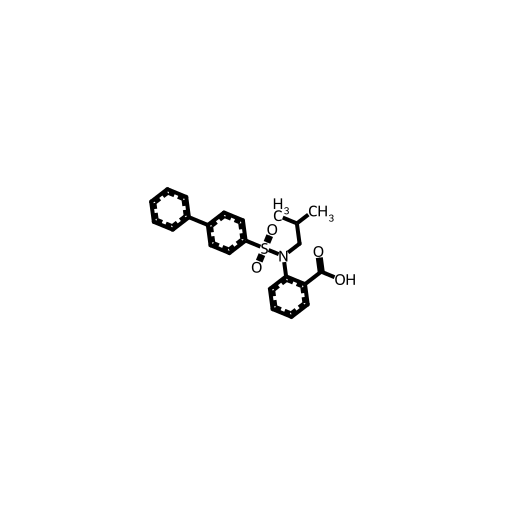 CC(C)CN(c1ccccc1C(=O)O)S(=O)(=O)c1ccc(-c2ccccc2)cc1